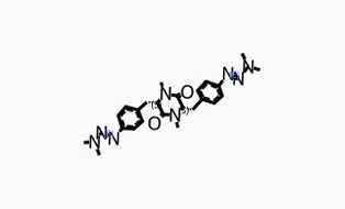 CN(C)/N=N/c1ccc(C[C@H]2C(=O)N(C)[C@@H](Cc3ccc(/N=N/N(C)C)cc3)C(=O)N2C)cc1